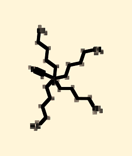 CCCCC[SH](C#N)(CCCCC)(CCCCC)CCCCC